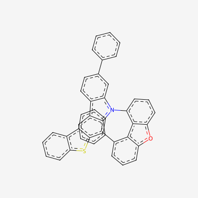 c1ccc(-c2ccc3c4ccccc4n(-c4cccc5oc6cccc(-c7cccc8c7sc7ccccc78)c6c45)c3c2)cc1